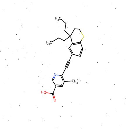 CCCC1(CCC)CCSc2ccc(C#Cc3ncc(C(=O)O)cc3C)cc21